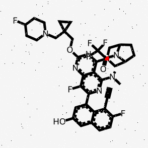 C#Cc1c(F)ccc2cc(O)cc(-c3nc(N(C)C)c4c(N5CC6CCC(C5)N6C(=O)C(F)(F)F)nc(OCC5(CN6CCC(F)CC6)CC5)nc4c3F)c12